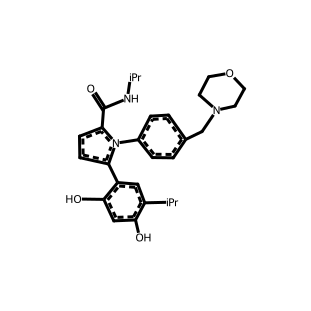 CC(C)NC(=O)c1ccc(-c2cc(C(C)C)c(O)cc2O)n1-c1ccc(CN2CCOCC2)cc1